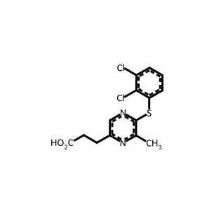 Cc1nc(CCC(=O)O)cnc1Sc1cccc(Cl)c1Cl